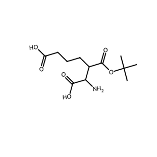 CC(C)(C)OC(=O)C(CCCC(=O)O)C(N)C(=O)O